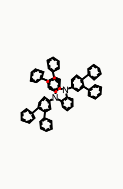 c1ccc(-c2ccc(N(c3ccc(-c4ccccc4)c(-c4ccccc4)c3)c3ccccc3N(c3ccc(-c4ccccc4)cc3)c3ccc(-c4ccccc4)c(-c4ccccc4)c3)cc2)cc1